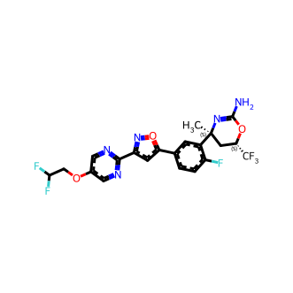 C[C@@]1(c2cc(-c3cc(-c4ncc(OCC(F)F)cn4)no3)ccc2F)C[C@@H](C(F)(F)F)OC(N)=N1